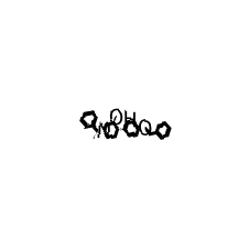 C[C@H](c1ccccc1)N1CC[C@@H](c2ccc(OCc3ccccc3)cc2)[C@H](O)C1